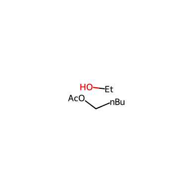 CCCCCOC(C)=O.CCO